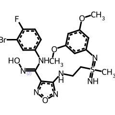 COc1cc(N=S(C)(=N)CCNc2nonc2/C(=N/O)Nc2ccc(F)c(Br)c2)cc(OC)c1